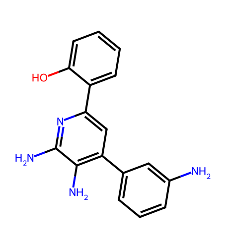 Nc1cccc(-c2cc(-c3ccccc3O)nc(N)c2N)c1